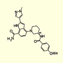 COc1ccc(C(=O)N[C@@H]2CCCN(c3ccc(C(N)=O)c4[nH]c(-c5cnn(C)c5)cc34)C2)cc1